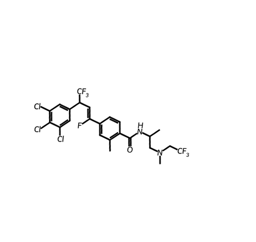 Cc1cc(/C(F)=C/C(c2cc(Cl)c(Cl)c(Cl)c2)C(F)(F)F)ccc1C(=O)NC(C)CN(C)CC(F)(F)F